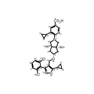 O=C(O)c1cnc(N2C[C@H]3C[C@H](OCc4c(-c5c(Cl)cccc5Cl)noc4C4CC4)C[C@H]3C2)c(C2CC2)c1